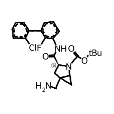 CC(C)(C)OC(=O)N1C2CC2(CN)C[C@H]1C(=O)Nc1cccc(-c2ccccc2Cl)c1F